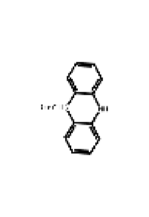 Cl.[Cu].c1ccc2c(c1)Nc1ccccc1S2